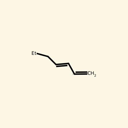 C=[C]C=CCCC